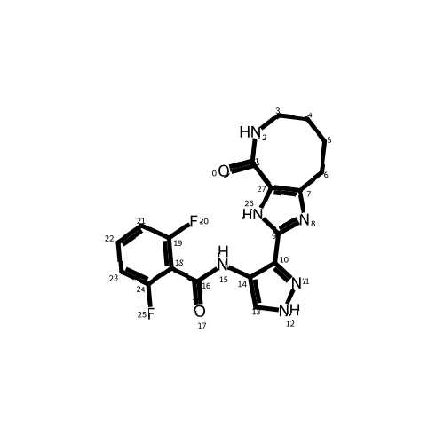 O=C1NCCCCc2nc(-c3n[nH]cc3NC(=O)c3c(F)cccc3F)[nH]c21